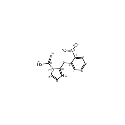 O=[N+]([O-])c1ccccc1Cc1nccn1C(=S)S